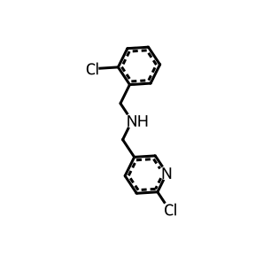 Clc1ccc(CNCc2ccccc2Cl)cn1